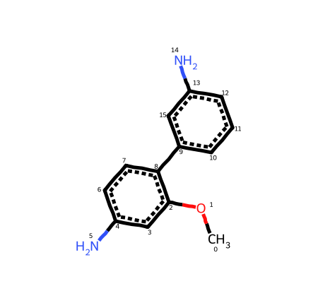 COc1cc(N)ccc1-c1cccc(N)c1